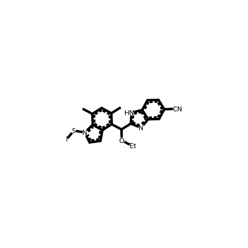 CCOC(c1nc2cc(C#N)ccc2[nH]1)c1c(C)cc(C)c2c1ccn2SI